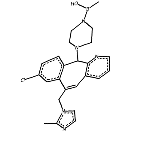 CB(O)N1CCN(C2c3ccc(Cl)cc3C(Cn3ccnc3C)=Cc3cccnc32)CC1